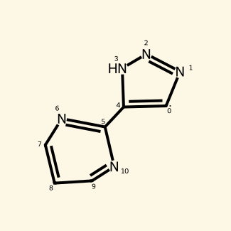 [c]1nn[nH]c1-c1ncccn1